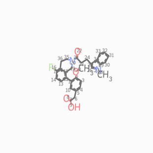 COc1ccc(CC(=O)O)cc1-c1ccc(F)c2c1CN(C(=O)CCc1cn(C)c3ccccc13)CC2